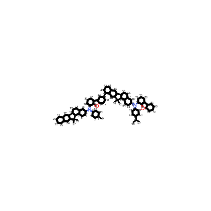 Cc1ccc(N(c2ccc3c4c(ccc3c2)-c2cc3ccccc3cc2C4(C)C)c2cccc3c2oc2ccc(-c4cccc5cc6c(cc45)C(C)(C)c4c-6ccc5cc(N(c6ccc(C(C)C)cc6)c6cccc7c6oc6ccccc67)ccc45)cc23)cc1